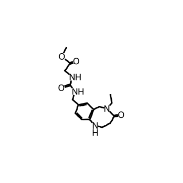 CCN1Cc2cc(CNC(=O)NCC(=O)OC)ccc2NCCC1=O